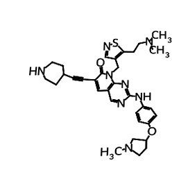 CN(C)CCc1sncc1Cn1c(=O)c(C#CC2CCNCC2)cc2cnc(Nc3ccc(OC4CCN(C)C4)cc3)nc21